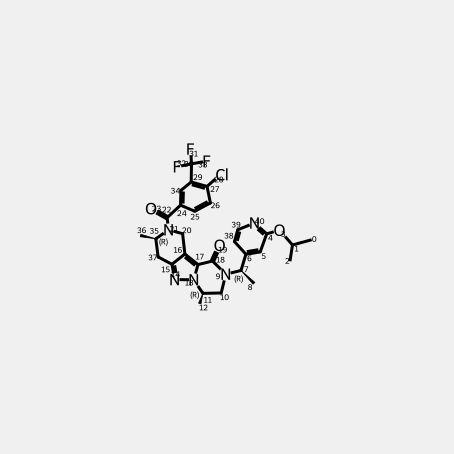 CC(C)Oc1cc([C@@H](C)N2C[C@@H](C)n3nc4c(c3C2=O)CN(C(=O)c2ccc(Cl)c(C(F)(F)F)c2)[C@H](C)C4)ccn1